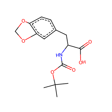 CC(C)(C)OC(=O)NC(Cc1ccc2c(c1)OCO2)C(=O)O